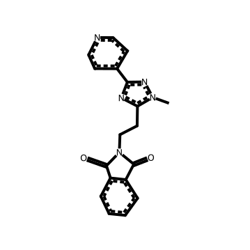 Cn1nc(-c2ccncc2)nc1CCN1C(=O)c2ccccc2C1=O